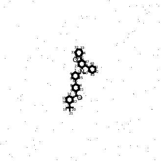 CN(c1cccc(-c2ccc(C(=O)c3cccc(C(C)(C)C)c3)cc2)c1)c1cc2oc3ccccc3c2cc1-c1ccccc1